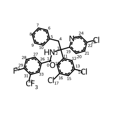 O=C(NC(Cc1ccccc1)(c1cc(Cl)cc(Cl)c1)c1ccc(Cl)cn1)c1ccc(F)c(C(F)(F)F)c1